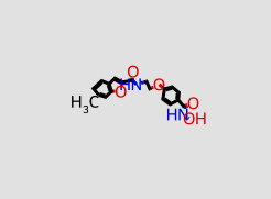 Cc1ccc2cc(C(=O)NCCOc3ccc(C(=O)NO)cc3)oc2c1